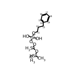 C[SiH](C)O[SiH2]OO[Si](O)(O)OCCCc1ccccc1